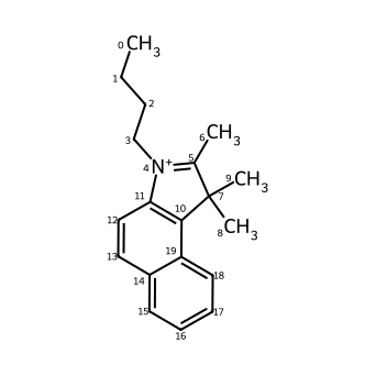 CCCC[N+]1=C(C)C(C)(C)c2c1ccc1ccccc21